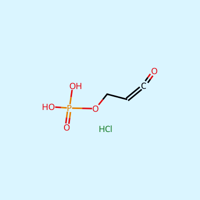 Cl.O=C=CCOP(=O)(O)O